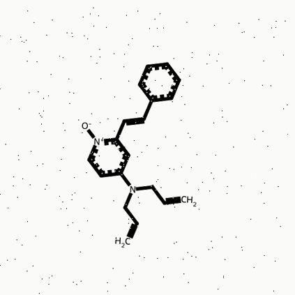 C=CCN(CC=C)c1cc[n+]([O-])c(C=Cc2ccccc2)c1